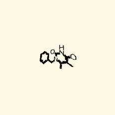 Cc1c(C)n(Cc2ccccc2)c(=O)[nH]c1=O